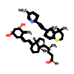 C=C1/C(=C\C=C2/CCC[C@]3(C)[C@@H]([C@H](C)CC[C@@H](O)C(C)C)CC[C@@H]23)C[C@@H](O)C[C@@H]1O.CCOC(=O)c1ccc(C#Cc2ccc3c(c2)C(C)(C)CCS3)nc1